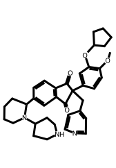 COc1ccc(C2(Cc3ccncc3)C(=O)c3ccc(C4CCCCN4C4CCNCC4)cc3C2=O)cc1OC1CCCC1